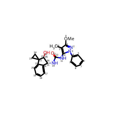 COc1nn(-c2ccccc2)c(NC(=O)N[C@@H]2c3ccccc3C3(CC3)[C@H]2O)c1C